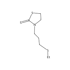 CCSCCCN1CCSC1=S